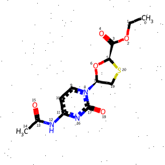 CCOC(=O)[C@@H]1O[C@H](n2ccc(NC(C)=O)nc2=O)CS1